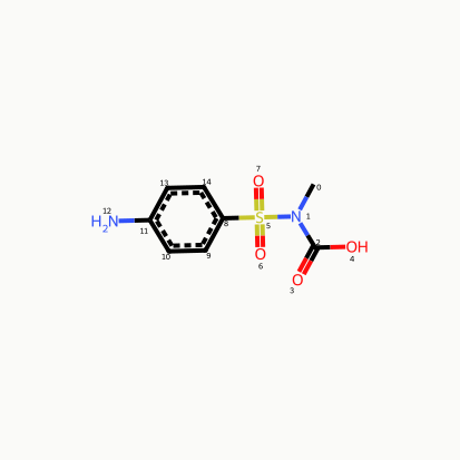 CN(C(=O)O)S(=O)(=O)c1ccc(N)cc1